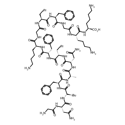 CC[C@H](C)[C@H](NC(=O)[C@H](CC(N)=O)NC(=O)CN)C(=O)N[C@@H](Cc1ccccc1)C(=O)N[C@@H](C)C(=O)N[C@@H](CC(N)=O)C(=O)N[C@@H](CC(C)C)C(=O)N[C@@H](Cc1ccccc1)C(=O)N[C@@H](CCCCN)C(=O)NCC(=O)N[C@@H](CC(C)C)C(=O)N[C@@H](Cc1ccccc1)C(=O)NCC(=O)N[C@@H](CCCCN)C(=O)N[C@@H](CCCCN)C(=O)O